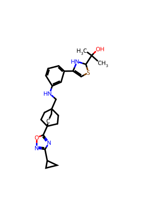 CC(C)(O)C1NC(c2cccc(NCC34CCC(c5nc(C6CC6)no5)(CC3)CC4)c2)=CS1